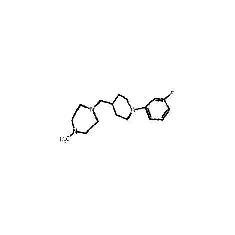 CN1CCN(CC2CCN(c3cccc(F)c3)CC2)CC1